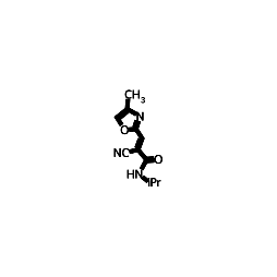 Cc1coc(/C=C(\C#N)C(=O)NC(C)C)n1